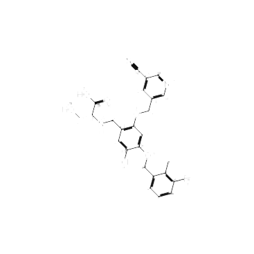 Cc1c(Br)cccc1COc1cc(OCc2cncc(C#N)c2)c(CN[C@H](CO)C(=O)O)cc1Cl